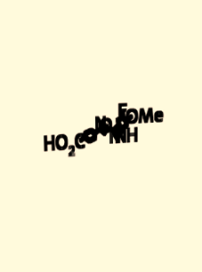 COc1cc2[nH]nc(-c3cc(-c4ccc(C(=O)O)cc4)no3)c2cc1F